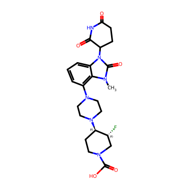 Cn1c(=O)n(C2CCC(=O)NC2=O)c2cccc(N3CCN([C@@H]4CCN(C(=O)O)C[C@H]4F)CC3)c21